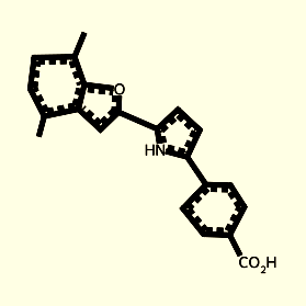 Cc1ccc(C)c2oc(-c3ccc(-c4ccc(C(=O)O)cc4)[nH]3)cc12